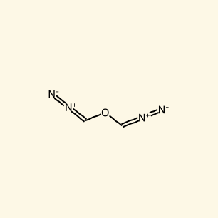 [N-]=[N+]=COC=[N+]=[N-]